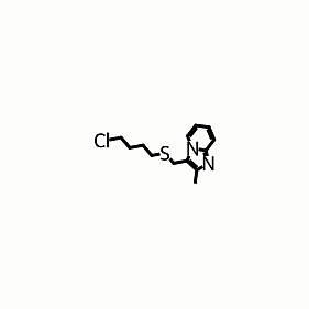 Cc1nc2ccccn2c1CSCCCCCl